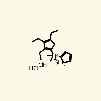 CCC1=C(CC)C(CC)=[C]([Hf]([CH3])([CH3])(=[SiH2])[C]2=CC=CC2)C1.Cl.Cl